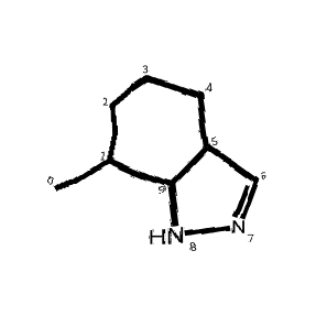 CC1CCCC2C=NNC12